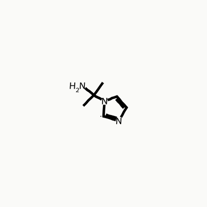 CC(C)(N)n1[c]ncc1